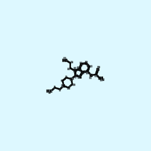 CCCN1CCN(c2nc3c(OC(N)=O)cccc3n2CCO)CC1